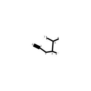 C#CCC([CH2])C(C)I